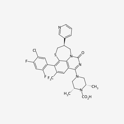 C[C@@H]1CN(c2nc(=O)n3c4c(c(-c5cc(Cl)c(F)cc5F)c(C(F)(F)F)cc24)SC[C@@H](c2cccnc2)C3)C[C@H](C)N1C(=O)O